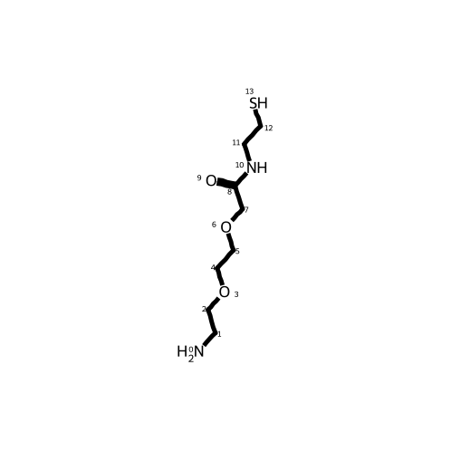 NCCOCCOCC(=O)NCCS